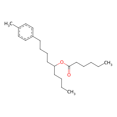 CCCCCC(=O)OC(CCCC)CCCCc1ccc(C)cc1